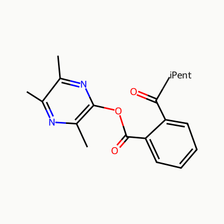 CCCC(C)C(=O)c1ccccc1C(=O)Oc1nc(C)c(C)nc1C